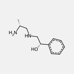 C[C@@H](N)CNC[C@@H](O)c1ccccc1